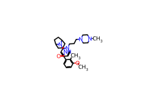 COc1cccc(C(=O)NC2CC3CCC(C2)N3C2C=CC=CN2CCCN2CCN(C)CC2)c1C